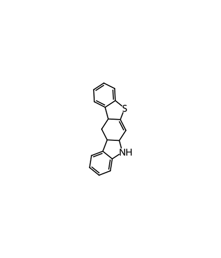 C1=C2Sc3ccccc3C2CC2c3ccccc3NC12